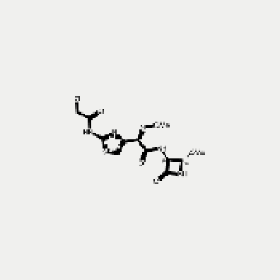 CON=C(C(=O)N[C@@H]1C(=O)N[C@H]1SC)c1csc(NC(=O)CCl)n1